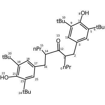 CCCC(Cc1cc(C(C)(C)C)c(O)c(C(C)(C)C)c1)C(=O)C(CCC)Cc1cc(C(C)(C)C)c(O)c(C(C)(C)C)c1